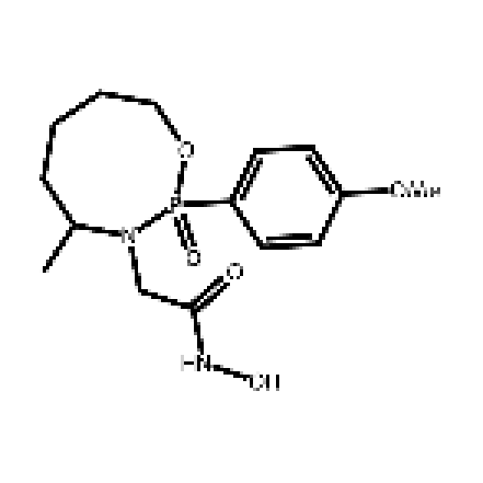 COc1ccc(P2(=O)OCCCCC(C)N2CC(=O)NO)cc1